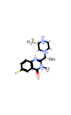 CCC[C@H](c1nc2ccc(F)cc2c(=O)n1CC)N1CCN[C@@H](C)C1